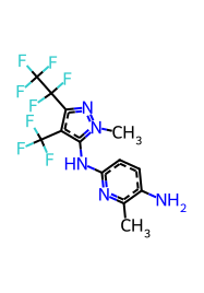 Cc1nc(Nc2c(C(F)(F)F)c(C(F)(F)C(F)(F)F)nn2C)ccc1N